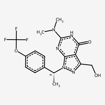 C[C@H](c1ccc(OC(F)(F)F)cc1)n1nc(CO)c2c(=O)[nH]c(N(C)C)nc21